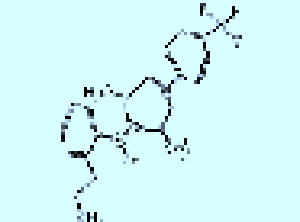 CCCc1ccccc1[S+]([O-])N1C(C)CN(c2ccc(C(F)(F)F)cc2)CC1C